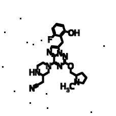 CN1CCCC1COc1nc(N2CCNC(CC#N)C2)c2ncc(Cc3c(O)cccc3F)n2n1